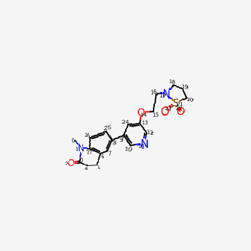 CN1C(=O)CCc2cc(-c3cncc(OCCN4CCCS4(=O)=O)c3)ccc21